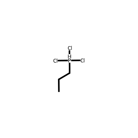 CCC[PH](Cl)(Cl)Cl